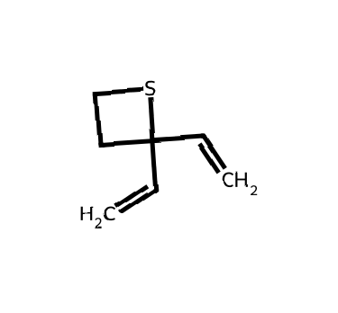 C=CC1(C=C)CCS1